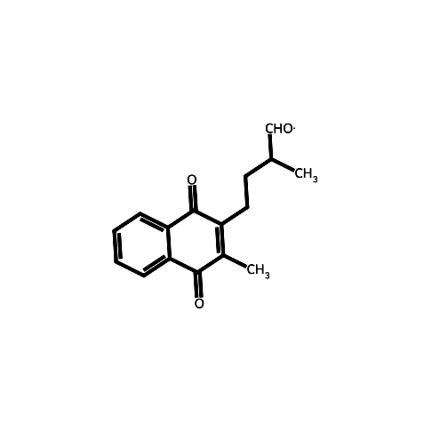 CC1=C(CCC(C)[C]=O)C(=O)c2ccccc2C1=O